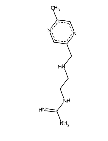 Cc1cnc(CNCCNC(=N)N)cn1